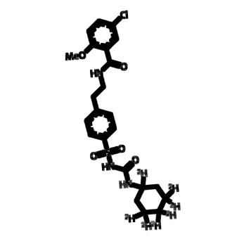 [2H]C1(NC(=O)NS(=O)(=O)c2ccc(CCNC(=O)c3cc(Cl)ccc3OC)cc2)CC([2H])([2H])C([2H])([2H])C([2H])([2H])C1